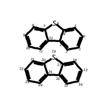 c1ccc2c(c1)sc1ccccc12.c1ccc2c(c1)sc1ccccc12